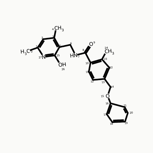 Cc1cc(C)c(CNC(=O)c2ccc(COc3ccccc3)cc2C)c(O)n1